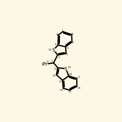 C[C](C)C(c1cc2ccccc2s1)c1cc2ccccc2s1